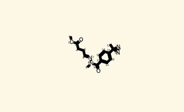 COC(=O)CC/C=N/N(C)C(=O)c1ccc(C2(C)N=N2)cc1